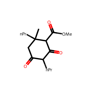 CCCC1C(=O)CC(C)(CCC)C(C(=O)OC)C1=O